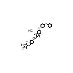 Cl.Cn1c(COc2ccc(CC3SC(=O)NC3=O)cc2)nc2ccc(Oc3ccc(Cc4ccccc4)cc3)cc21